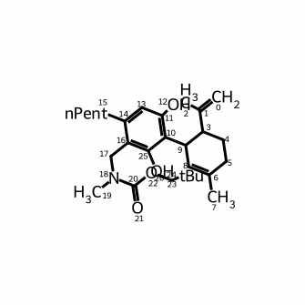 C=C(C)C1CCC(C)=CC1c1c(O)cc(CCCCC)c(CN(C)C(=O)OCC(C)(C)C)c1O